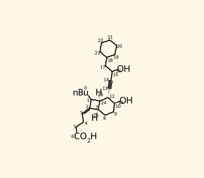 CCCCC1/C(=C/CCC(=O)O)[C@@H]2CC[C@H](O)[C@@H](C#CC(O)CC3CCCCC3)[C@H]12